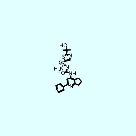 CC(C)(O)c1ncc(S(N)(=O)=NC(=O)Nc2cc(-c3ccccc3)nc3c2CCC3)s1